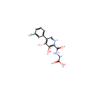 Bc1c(-c2cccc(Cl)c2)cnc(C(=O)NCC(=O)O)c1O